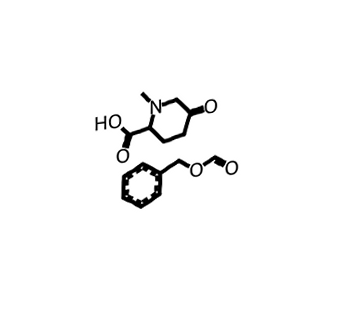 CN1CC(=O)CCC1C(=O)O.O=COCc1ccccc1